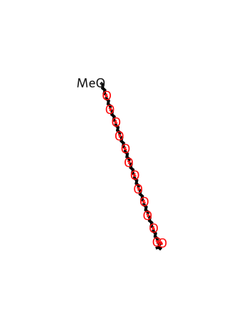 C=C(C)C(=O)OCCCCOCCCCOCCCCOCCCCOCCCCOCCCCOCCCCOCCCCOCCCCOCCCCOCCCCOCCCCOC